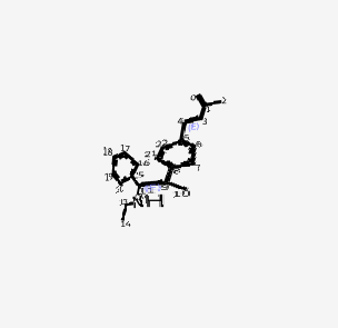 C=C(C)/C=C/c1ccc(/C(C)=C(/NCC)c2ccccc2)cc1